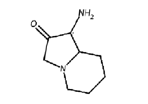 N[C]1C(=O)CN2CCCCC12